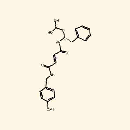 COc1ccc(CNC(=O)/C=C/C(=O)N[C@@H](Cc2ccccc2)OB(O)O)cc1